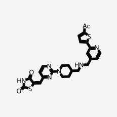 CC(=O)c1ccc(-c2cc(CNCC3CCN(c4nccc(C=C5SC(=O)NC5=O)n4)CC3)ccn2)s1